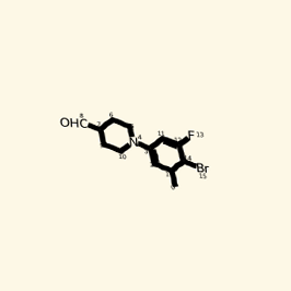 CC1C=C(N2CCC(C=O)CC2)C=C(F)C1Br